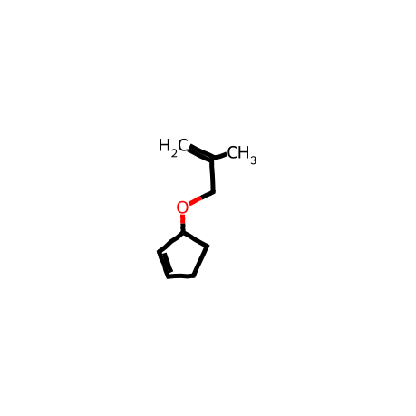 C=C(C)COC1C=CCC1